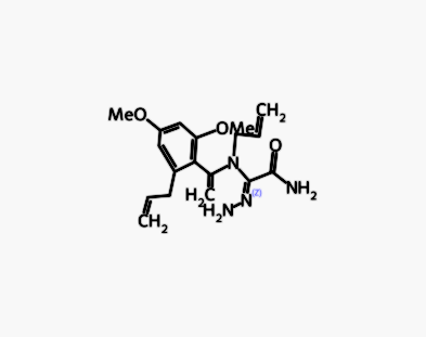 C=CCc1cc(OC)cc(OC)c1C(=C)N(CC=C)/C(=N\N)C(N)=O